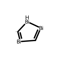 [C]1=[Bi][CH]=[Bi][BiH]1